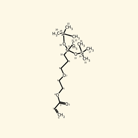 C=CC(=O)OCCOCCC[Si](C)(O[Si](C)(C)C)O[Si](C)(C)C